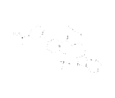 N#CCC(Cc1c[nH]c2ccccc12)NC(=O)c1cc(-c2cccc(C(N)=O)c2)ccc1OC(F)(F)F